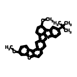 COc1ccc2c(c1)oc1ccc3cc4c(cc3c12)c1ccc(OC)c2c3cc(C(C)(C)C)ccc3n4c12